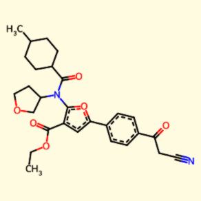 CCOC(=O)c1cc(-c2ccc(C(=O)CC#N)cc2)oc1N(C(=O)C1CCC(C)CC1)C1CCOC1